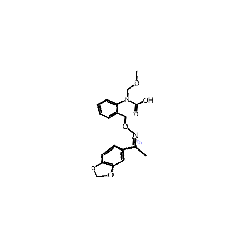 COCN(C(=O)O)c1ccccc1CO/N=C(/C)c1ccc2c(c1)OCO2